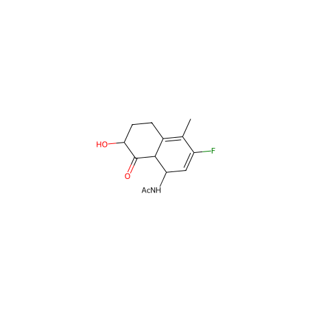 CC(=O)NC1C=C(F)C(C)=C2CCC(O)C(=O)C21